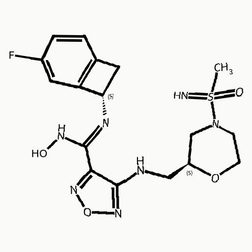 CS(=N)(=O)N1CCO[C@@H](CNc2nonc2C(=N[C@H]2Cc3ccc(F)cc32)NO)C1